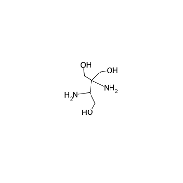 NC(CO)C(N)(CO)CO